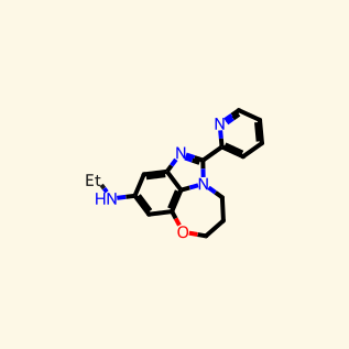 CCNc1cc2c3c(c1)nc(-c1ccccn1)n3CCCO2